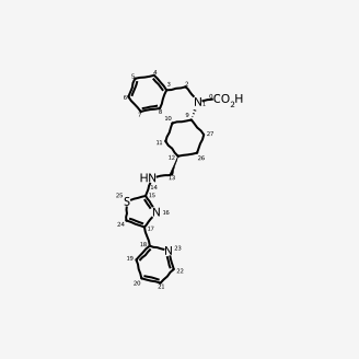 O=C(O)N(Cc1ccccc1)[C@H]1CC[C@H](CNc2nc(-c3ccccn3)cs2)CC1